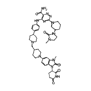 CN1CCN(C2CCCN(c3nnc(C(N)=O)c(Nc4ccc(C5CCN(CC6CCN(c7ccc8c(c7)n(C)c(=O)n8C7CCC(=O)NC7=O)CC6)CC5)cc4)n3)C2)C1=O